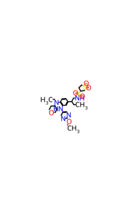 CCOc1ncc(Nc2cc(C(CC)CNS(=O)(=O)C3CCS(=O)(=O)C3)ccc2N(CC)C2CCOCC2)cn1